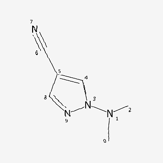 CN(C)n1cc(C#N)cn1